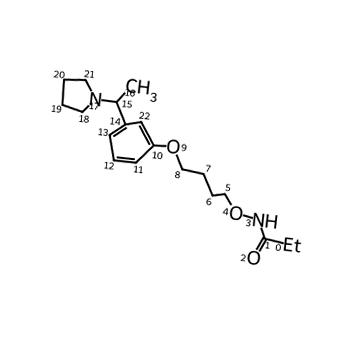 CCC(=O)NOCCCCOc1cccc(C(C)N2CCCC2)c1